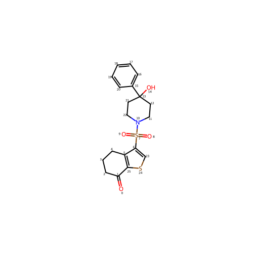 O=C1CCCc2c(S(=O)(=O)N3CCC(O)(c4ccccc4)CC3)csc21